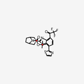 CC(C)(C)OC(=O)N1C2CCC1CN(c1nc3c(C(=O)C(F)(F)F)ccc(-c4nccs4)c3o1)C2